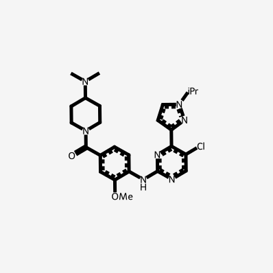 COc1cc(C(=O)N2CCC(N(C)C)CC2)ccc1Nc1ncc(Cl)c(-c2ccn(C(C)C)n2)n1